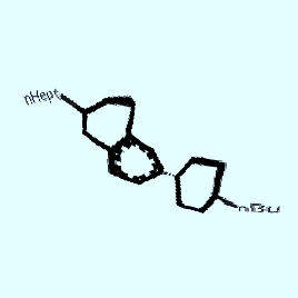 CCCCCCCC1CCc2cc([C@H]3CC[C@H](CCCC)CC3)ccc2C1